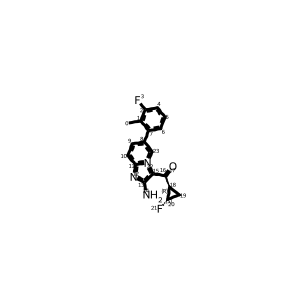 Cc1c(F)cccc1-c1ccc2nc(N)c(C(=O)[C@H]3C[C@@H]3F)n2c1